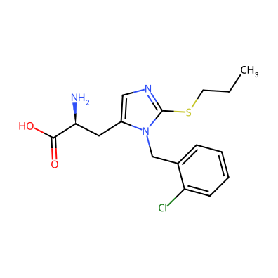 CCCSc1ncc(C[C@H](N)C(=O)O)n1Cc1ccccc1Cl